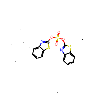 O=S(=O)(Oc1nc2ccccc2s1)Oc1nc2ccccc2s1